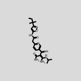 CCC(C)(C)c1cc(NC(=O)Cc2ccc(C(=N)/C(C(N)=O)=C(/N)NC(C)C)cn2)on1